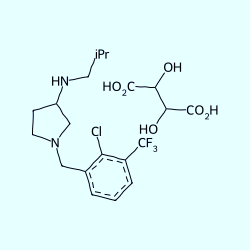 CC(C)CNC1CCN(Cc2cccc(C(F)(F)F)c2Cl)C1.O=C(O)C(O)C(O)C(=O)O